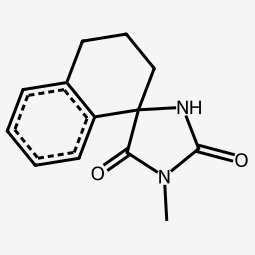 CN1C(=O)NC2(CCCc3ccccc32)C1=O